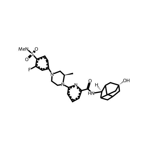 CNS(=O)(=O)c1ccc(N2CCN(c3cccc(C(=O)N[C@H]4C5CC6CC4C[C@](O)(C6)C5)n3)[C@H](C)C2)cc1F